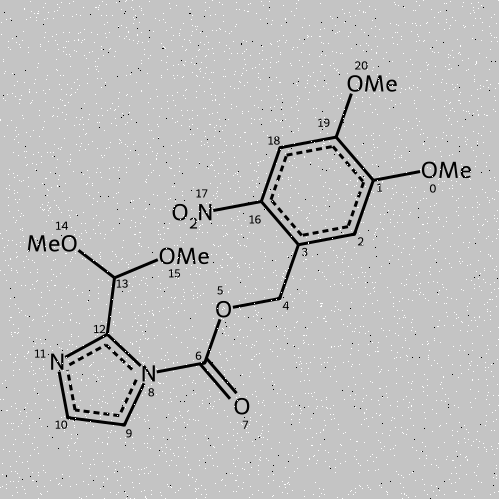 COc1cc(COC(=O)n2ccnc2C(OC)OC)c([N+](=O)[O-])cc1OC